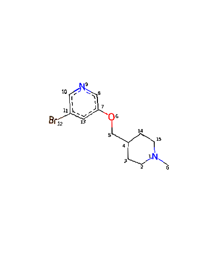 CN1CCC(COc2cncc(Br)c2)CC1